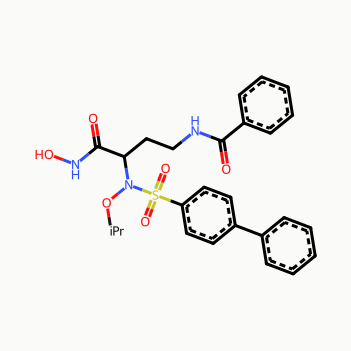 CC(C)ON(C(CCNC(=O)c1ccccc1)C(=O)NO)S(=O)(=O)c1ccc(-c2ccccc2)cc1